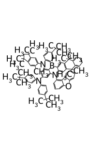 Cc1cc2c(cc1N1c3ccc(C(C)(C)C)cc3B3c4cc5c(cc4N(c4cccc6oc7ccccc7c46)c4cc(N(c6ccc(C(C)(C)C)cc6)c6ccc(C(C)(C)C)cc6)cc1c43)C(C)(C)c1ccccc1C5(C)C)C(C)(C)CC2(C)C